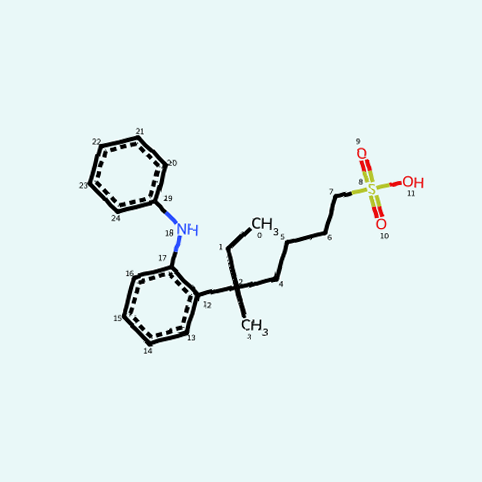 CCC(C)(CCCCS(=O)(=O)O)c1ccccc1Nc1ccccc1